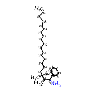 C=C(C(N)c1ccccc1)C(C)(C)CCCCCCCCCCCCCCCCC